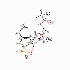 CCC(C)(C)C(=O)OC(C)C(=O)OC1C2OS(=O)(=O)C3CC1(COC(C)=O)CC23CCOC=O